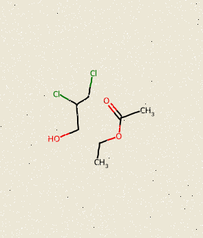 CCOC(C)=O.OCC(Cl)CCl